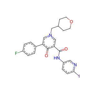 O=C(Nc1ccc(I)nc1)c1cn(CC2CCOCC2)cc(-c2ccc(F)cc2)c1=O